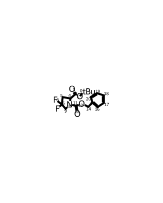 CC(C)(C)OC(=O)C1CC(F)(F)CN1C(=O)OCc1ccccc1